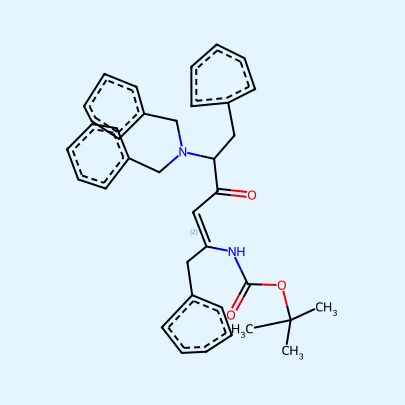 CC(C)(C)OC(=O)N/C(=C\C(=O)C(Cc1ccccc1)N(Cc1ccccc1)Cc1ccccc1)Cc1ccccc1